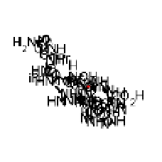 CC(C)C[C@H](NC(=O)[C@@H]1CCCN1C(=O)CN)C(=O)NCC(=O)N[C@H](C(=O)N[C@@H](CCCNC(=N)N)C(=O)NCC(=O)N[C@@H](CO)C(=O)N[C@@H](Cc1c[nH]cn1)C(=O)N[C@@H](Cc1c[nH]cn1)C(=O)N[C@@H](Cc1c[nH]cn1)C(=O)N[C@@H](Cc1c[nH]cn1)C(=O)N[C@@H](Cc1c[nH]cn1)C(=O)N[C@@H](Cc1c[nH]cn1)C(=O)O)C(C)C